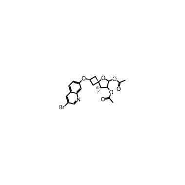 CC(=O)OC1O[C@]2(C[C@H](Oc3ccc4cc(Br)cnc4c3)C2)[C@@H](C)C1OC(C)=O